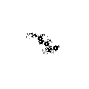 CCN(CC)CCOc1cc2nccc(Oc3ccc(NC(=O)C4(C(=O)Nc5ccc(F)cc5)CC4(C)C)cc3C)c2cc1OC